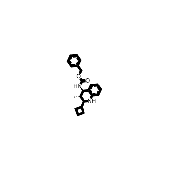 C[C@H]1C(C2CCC2)Nc2ccccc2[C@@H]1NC(=O)OCc1ccccc1